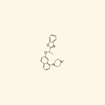 CC(Oc1ccc2cccc(N3CCN(C)CC3)c2c1)c1nc2ccccc2o1